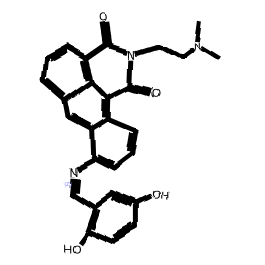 CN(C)CCN1C(=O)c2cccc3cc4c(/N=C\c5cc(O)ccc5O)cccc4c(c23)C1=O